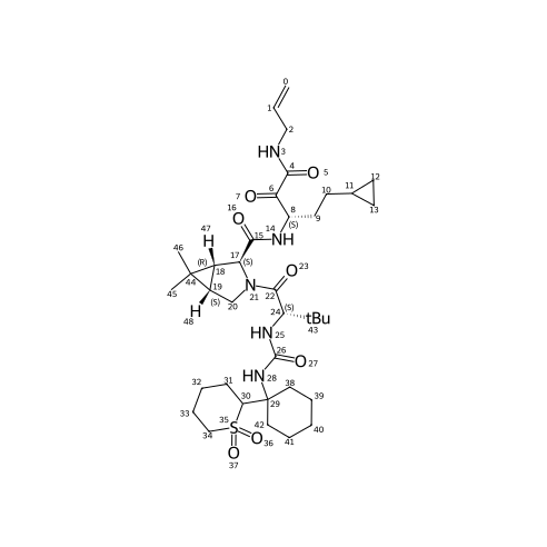 C=CCNC(=O)C(=O)[C@H](CCC1CC1)NC(=O)[C@@H]1[C@@H]2[C@H](CN1C(=O)[C@@H](NC(=O)NC1(C3CCCCS3(=O)=O)CCCCC1)C(C)(C)C)C2(C)C